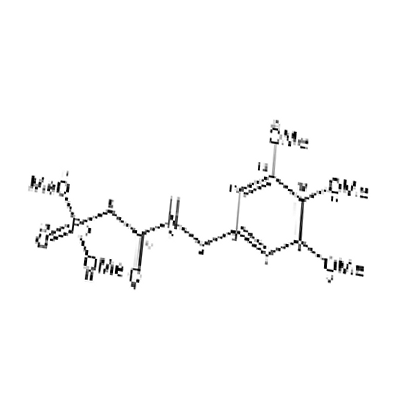 COc1cc(CNC(=O)CP(=O)(OC)OC)cc(OC)c1OC